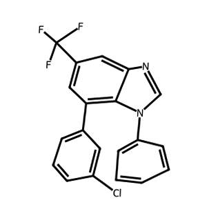 FC(F)(F)c1cc(-c2cccc(Cl)c2)c2c(c1)ncn2-c1ccccc1